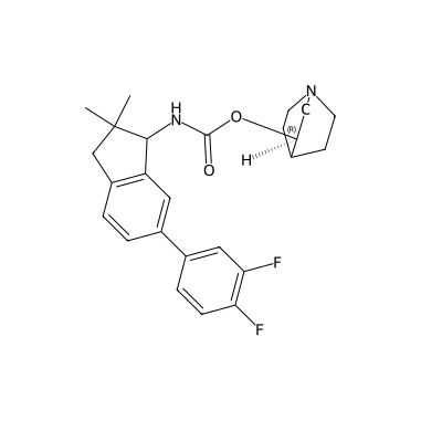 CC1(C)Cc2ccc(-c3ccc(F)c(F)c3)cc2C1NC(=O)O[C@H]1CN2CCC1CC2